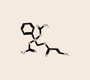 CC=CC(=O)OC[Si](OC(C)=O)(OC(C)=O)c1ccccc1